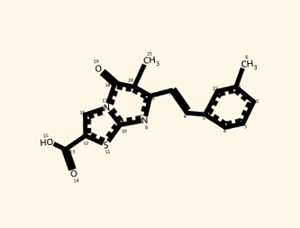 Cc1cccc(/C=C/c2nc3sc(C(=O)O)cn3c(=O)c2C)c1